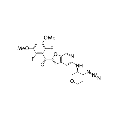 COc1cc(OC)c(F)c(C(=O)c2cc3cc(N[C@@H]4COCCC4N=[N+]=[N-])ncc3o2)c1F